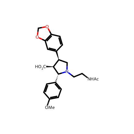 COc1ccc([C@@H]2[C@@H](C(=O)O)[C@@H](c3ccc4c(c3)OCO4)CN2CCNC(C)=O)cc1